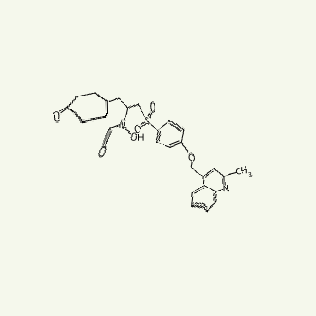 Cc1cc(COc2ccc(S(=O)(=O)CC(CC3CCC(=O)CC3)N(O)C=O)cc2)c2ccccc2n1